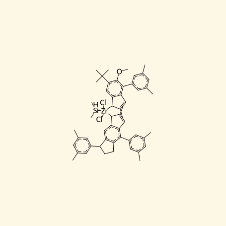 COc1c(C(C)(C)C)cc2c(c1-c1cc(C)cc(C)c1)C=C(C)[CH]2[Zr]([Cl])([Cl])([CH]1C(C)=Cc2c1cc1c(c2-c2cc(C)cc(C)c2)CCC1c1cc(C)cc(C)c1)[SiH](C)C